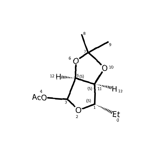 CC[C@@H]1OC(OC(C)=O)[C@H]2OC(C)(C)O[C@@H]12